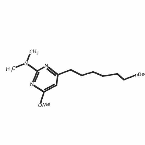 CCCCCCCCCCCCCCCCc1cc(OC)nc(N(C)C)n1